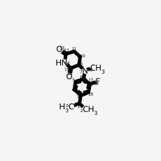 CC(C)c1ccc(N(C)C2CCC(=O)NC2=O)c(F)c1